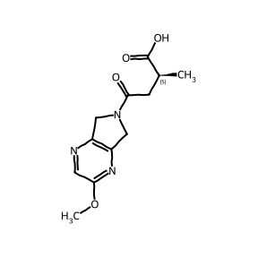 COc1cnc2c(n1)CN(C(=O)C[C@H](C)C(=O)O)C2